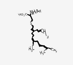 C=CCC(=CCSC[C@H](NC(C)=O)C(=O)O)CCC=C(C)CCC=C(C)C